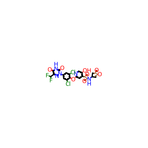 O=c1[nH]c(=O)n(-c2cc(Cl)c(Oc3cc(S(=O)(=O)NC4CS(=O)(=O)C4)c(O)cn3)c(Cl)c2)nc1C(F)F